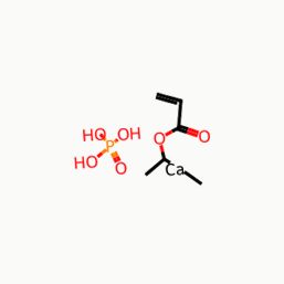 C=CC(=O)O[CH](C)[Ca][CH3].O=P(O)(O)O